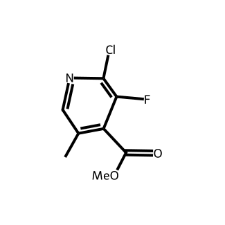 COC(=O)c1c(C)cnc(Cl)c1F